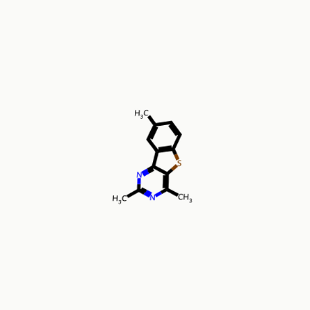 Cc1ccc2sc3c(C)nc(C)nc3c2c1